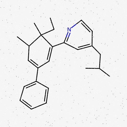 CCC1(C)C(c2cc(CC(C)C)ccn2)=CC(c2ccccc2)=CC1C